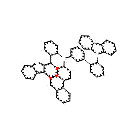 c1cc(-c2ccccc2-n2c3ccccc3c3ccccc32)cc(N(c2ccc3c(ccc4ccccc43)c2)c2ccccc2-c2cccc3c2oc2ccccc23)c1